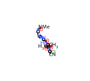 CNC(=O)CN1CCC(CN2CCN(c3ccc(C(=O)NC4CC5(C)OC4(C)[C@@H]4C(=O)N(c6ccc(C#N)c(Cl)c6)C(=O)[C@@H]45)cn3)CC2)CC1